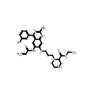 C=CC(=O)Nc1cc2c(-c3cccc(Br)c3)nc(N)nc2cc1OCCCN1CCNCC1C(=O)OCC